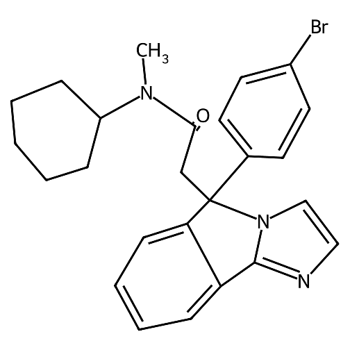 CN(C(=O)CC1(c2ccc(Br)cc2)c2ccccc2-c2nccn21)C1CCCCC1